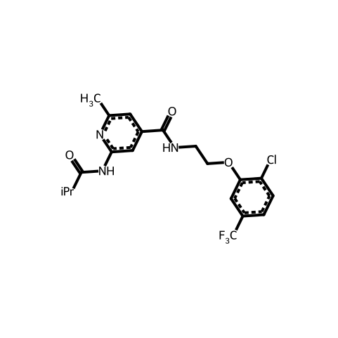 Cc1cc(C(=O)NCCOc2cc(C(F)(F)F)ccc2Cl)cc(NC(=O)C(C)C)n1